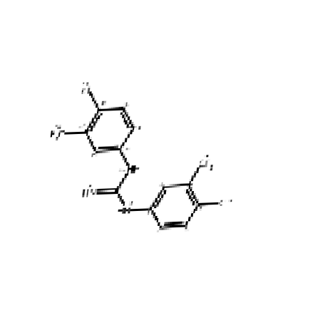 N=C(Nc1ccc(Cl)c(C(F)(F)F)c1)Nc1ccc(Cl)c(C(F)(F)F)c1